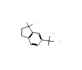 CC(C)(C)c1ccc2c(c1)C(C)(C)CC2